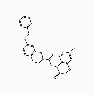 O=C(CN1C(=O)COc2cc(Br)cnc21)N1CCc2ccc(OCc3ccccc3)cc2C1